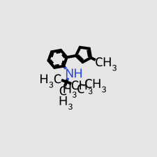 CC.CC1=CCC(c2ccccc2NC(C)(C)C)=C1